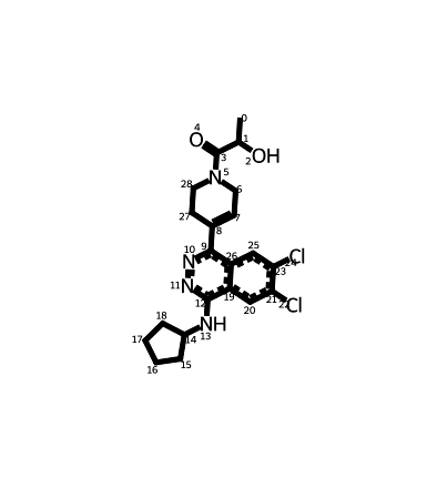 CC(O)C(=O)N1CC=C(c2nnc(NC3CCCC3)c3cc(Cl)c(Cl)cc23)CC1